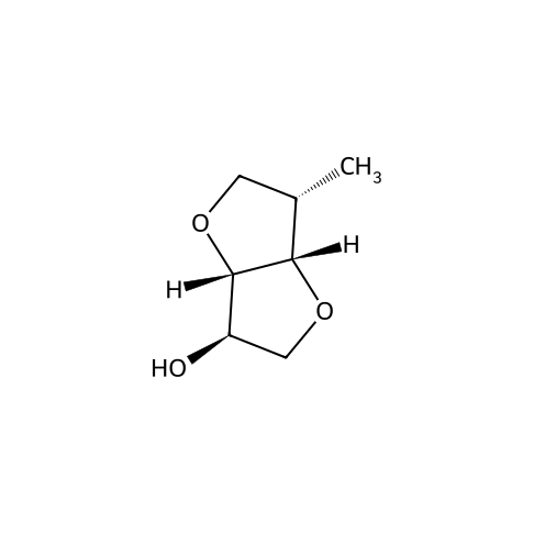 C[C@H]1CO[C@@H]2[C@H]1OC[C@H]2O